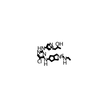 CCNSN1CC2CC(Nc3nc(Nc4cnn(CC(C)O)c4)ncc3Cl)CC2C1